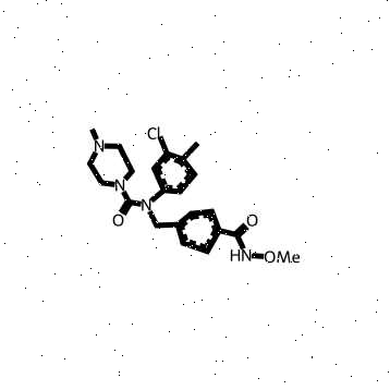 CONC(=O)c1ccc(CN(C(=O)N2CCN(C)CC2)c2ccc(C)c(Cl)c2)cc1